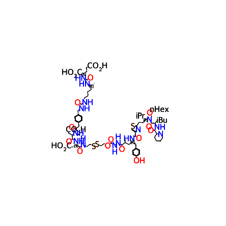 CCCCCCOCN(C(=O)C(NC(=O)C1CCCCN1C)C(C)CC)[C@H](CCc1nc(C(=O)N[C@@H](Cc2ccc(O)cc2)CC(C)C(=O)NNC(=O)OCCSSCCNC(=O)[C@H](CC(=O)O)NC(=O)C(CC(=O)O)NC(=O)Cc2ccc(CNC(=O)NCCCC[C@@H](C)NC(=O)N[C@@H](CCC(=O)O)C(=O)O)cc2)cs1)C(C)C